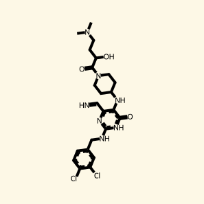 CN(C)CCC(O)C(=O)N1CCC(Nc2c(C=N)nc(NCc3ccc(Cl)c(Cl)c3)[nH]c2=O)CC1